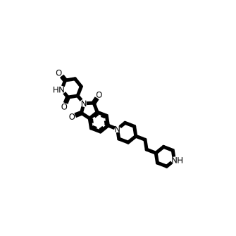 O=C1CCC(N2C(=O)c3ccc(N4CCC(CCC5CCNCC5)CC4)cc3C2=O)C(=O)N1